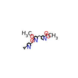 CCOc1cc(Cc2ccnc(C(=O)OC)c2)cnc1OCc1ccc(C2CC2)nc1